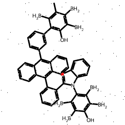 Bc1c(B)c(O)c(-c2cccc(-c3c4ccccc4c(-c4ccccc4-c4nc5ccccc5n4-c4c(B)c(B)c(O)c(B)c4B)c4ccccc34)c2)c(B)c1C